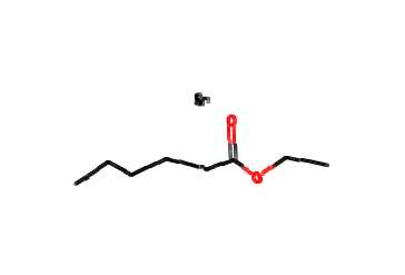 CCCCCC(=O)OCC.[Sr]